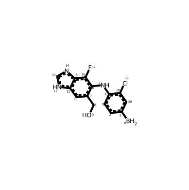 Bc1ccc(Nc2c(CO)cc3[nH]cnc3c2F)c(Cl)c1